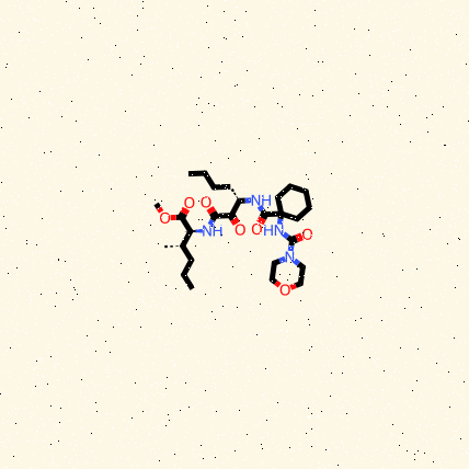 CCCC[C@H](NC(=O)C1(NC(=O)N2CCOCC2)CCCCC1)C(=O)C(=O)N[C@H](C(=O)OC)[C@@H](C)CCC